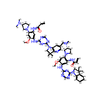 C=CC(=O)Nc1cc(Nc2ncnc(N3CC(C)(C)c4ncc(CN(C)[C@@H]5CCN(c6cc(OC)c(Nc7ncnc(N8CC(C)(C)c9ccccc98)n7)cc6NC(=O)C=C)C5)cc43)n2)c(OC)cc1N1CC[C@@H](N(C)C)C1